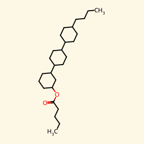 CCCCC(=O)OC1CCCC(C2CCC(C3CCC(CCCC)CC3)CC2)C1